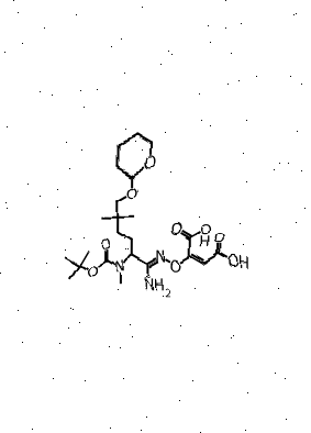 CN(C(=O)OC(C)(C)C)C(CCC(C)(C)COC1CCCCO1)C(N)=NOC(=CC(=O)O)C(=O)O